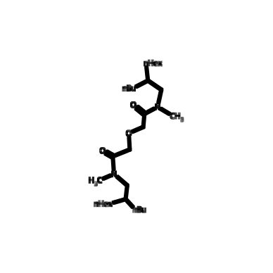 CCCCCCC(CCCC)CN(C)C(=O)COCC(=O)N(C)CC(CCCC)CCCCCC